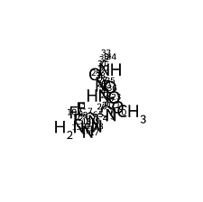 COc1ncc(-c2cc(C(F)(F)F)c3c(N)ncnn23)cc1C(=O)Nc1nc(C(=O)NCC2CC2)co1